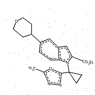 CCOC(=O)c1cc2cc(C3CCOCC3)ccc2n1C1(c2nnc(C)o2)CC1